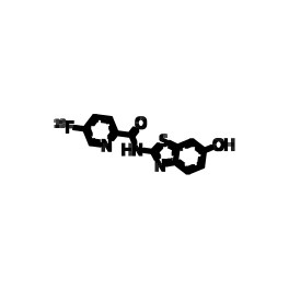 O=C(Nc1nc2ccc(O)cc2s1)c1ccc([19F])cn1